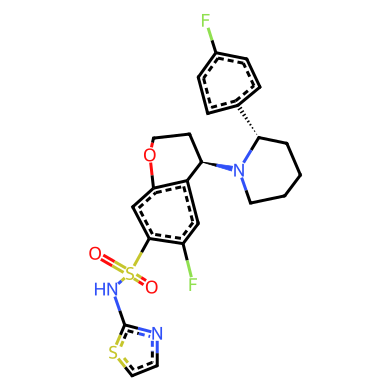 O=S(=O)(Nc1nccs1)c1cc2c(cc1F)[C@H](N1CCCC[C@H]1c1ccc(F)cc1)CCO2